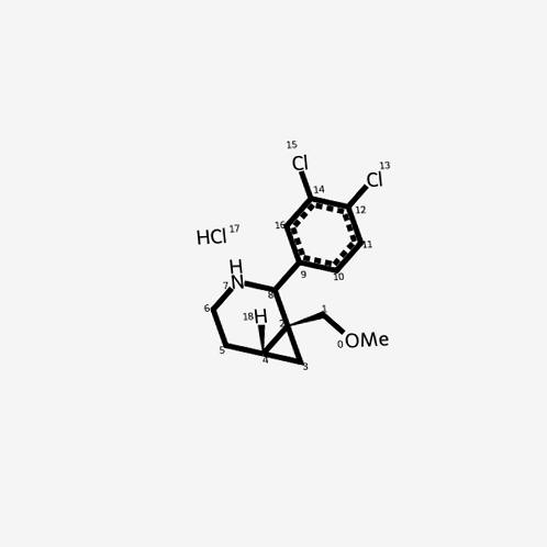 COC[C@@]12C[C@@H]1CCNC2c1ccc(Cl)c(Cl)c1.Cl